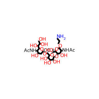 CC(=O)N[C@H]1C(O)[C@H](O[C@@H]2OC(CO[C@]3(C(=O)O)C[C@@H](O)[C@@H](NC(C)=O)C(C(O)C(O)CO)O3)[C@H](O)C(O)[C@@H]2O)C(CO)O[C@H]1OCCCN